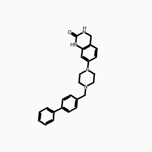 O=C1NCc2ccc(N3CCN(Cc4ccc(-c5ccccc5)cc4)CC3)cc2N1